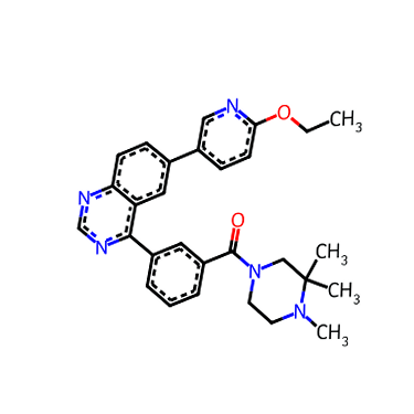 CCOc1ccc(-c2ccc3ncnc(-c4cccc(C(=O)N5CCN(C)C(C)(C)C5)c4)c3c2)cn1